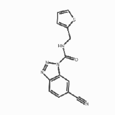 N#Cc1ccc2nnn(C(=O)NCc3cccs3)c2c1